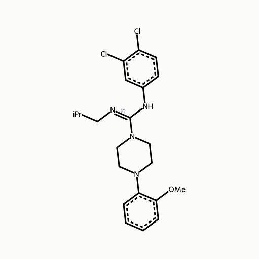 COc1ccccc1N1CCN(/C(=N\CC(C)C)Nc2ccc(Cl)c(Cl)c2)CC1